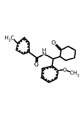 COc1ccccc1C(NC(=O)c1ccc(C)cc1)C1CCCCC1=O